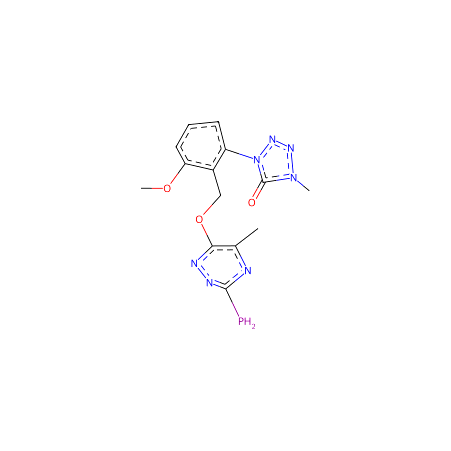 COc1cccc(-n2nnn(C)c2=O)c1COc1nnc(P)nc1C